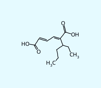 CCCC(CC)/C(=C\C=C\C(=O)O)C(=O)O